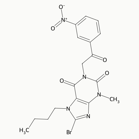 CCCCn1c(Br)nc2c1c(=O)n(CC(=O)c1cccc([N+](=O)[O-])c1)c(=O)n2C